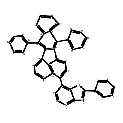 c1ccc(-c2nc3nccc(-c4ccc5c6c(cccc46)-c4c-5c(-c5ccccc5)c5ccccc5c4-c4ccccc4)c3o2)cc1